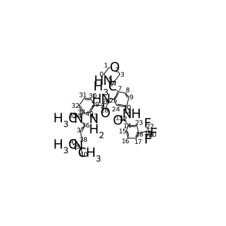 C1COCCN1.Cc1ccc(NC(=O)c2cccc(C(F)(F)F)c2)cc1NC(=O)c1cccc(N(C)CCCN(C)C)c1N